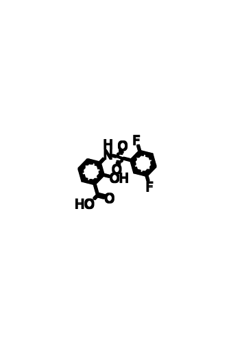 O=C(O)c1cccc(NS(=O)(=O)c2cc(F)ccc2F)c1O